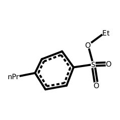 CCCc1ccc(S(=O)(=O)OCC)cc1